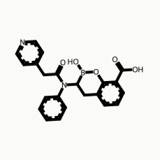 O=C(O)c1cccc2c1OB(O)C(N(C(=O)Cc1ccncc1)c1ccccc1)C2